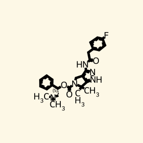 CN(C)C[C@@H](OC(=O)N1Cc2c(NC(=O)Cc3ccc(F)cc3)n[nH]c2C1(C)C)c1ccccc1